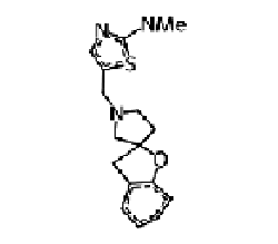 CNc1ncc(CN2CCC3(Cc4ccccc4O3)C2)s1